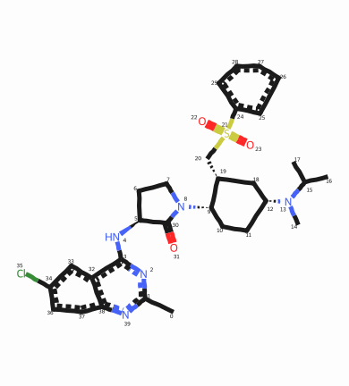 Cc1nc(N[C@H]2CCN([C@H]3CC[C@@H](N(C)C(C)C)C[C@H]3CS(=O)(=O)c3ccccc3)C2=O)c2cc(Cl)ccc2n1